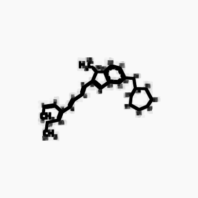 C\C=C/C(/C=C/C=C/C1=Cc2cc(CC3CCCCCC3)ccc2C1C)=C\CC